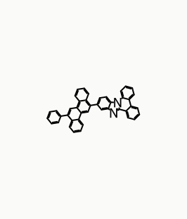 c1ccc(-c2cc3c4ccccc4c(-c4ccc5c(c4)nc4c6ccccc6c6ccccc6n54)cc3c3ccccc23)cc1